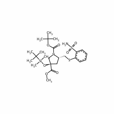 COC(=O)[C@@]1(O[Si](C)(C)C(C)(C)C)C[C@@H](CSc2ccccc2S(N)(=O)=O)N(C(=O)OC(C)(C)C)C1